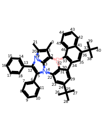 Cc1c2c3n(c(-c4ccccc4)c(-c4ccccc4)n3c1C)-c1cc(C(C)(C)C)cc3c1B2c1c-3cc(C(C)(C)C)c2ccccc12